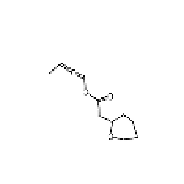 CC=C=COC(=O)CC1CCCCO1